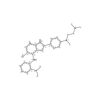 CN(C)CCN(C)c1ccc(-c2cc3c(Nc4ccccc4P(C)C)c(Cl)cnc3[nH]2)cc1